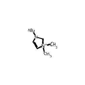 CCCCN1C=C[N+](C)(C)C1